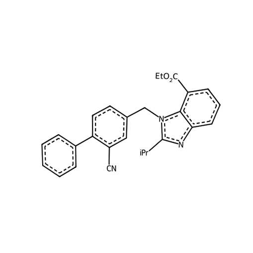 CCOC(=O)c1cccc2nc(C(C)C)n(Cc3ccc(-c4ccccc4)c(C#N)c3)c12